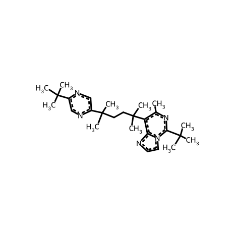 Cc1nc(C(C)(C)C)n2ccnc2c1C(C)(C)CCC(C)(C)c1cnc(C(C)(C)C)cn1